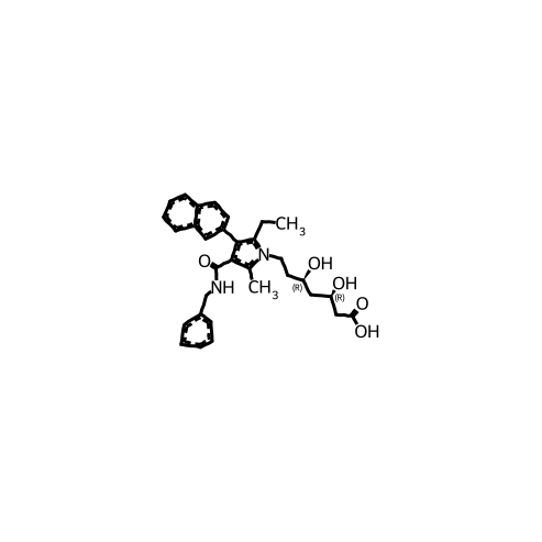 CCc1c(-c2ccc3ccccc3c2)c(C(=O)NCc2ccccc2)c(C)n1CC[C@@H](O)C[C@@H](O)CC(=O)O